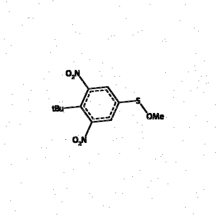 COSc1cc([N+](=O)[O-])c(C(C)(C)C)c([N+](=O)[O-])c1